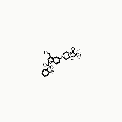 O=Cc1cn(S(=O)(=O)c2ccccc2F)c2ccc(N3CCN(C(=O)C(Cl)(Cl)Cl)CC3)cc12